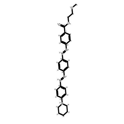 COCCOC(=O)c1ccc(N=Nc2ccc(N=Nc3ccc(N4CCCCC4)cc3)cc2)cc1